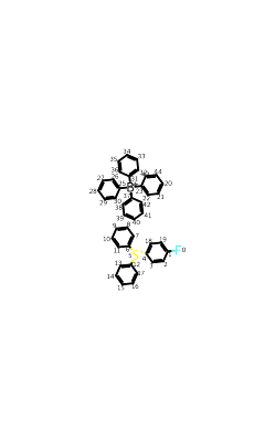 Fc1ccc([S+](c2ccccc2)c2ccccc2)cc1.c1ccc([B-](c2ccccc2)(c2ccccc2)c2ccccc2)cc1